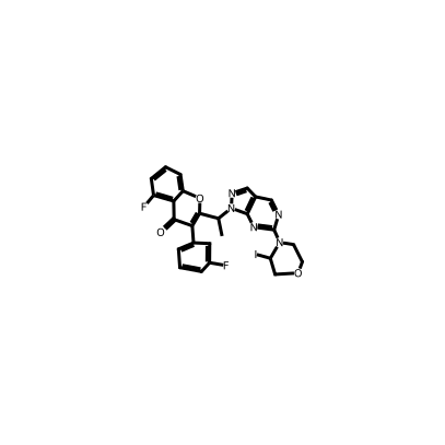 CC(c1oc2cccc(F)c2c(=O)c1-c1cccc(F)c1)n1ncc2cnc(N3CCOCC3I)nc21